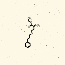 C=C(CCOCCCc1ccccc1)C(=O)OCC